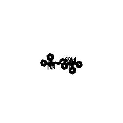 C=C(/C=C\C=C/Cc1nnc(-c2ccccc2)n1-c1ccccc1)c1ccccc1-c1nnc(-c2ccccc2)n1-c1ccccc1